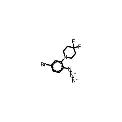 [N-]=[N+]=Nc1ccc(Br)cc1N1CCC(F)(F)CC1